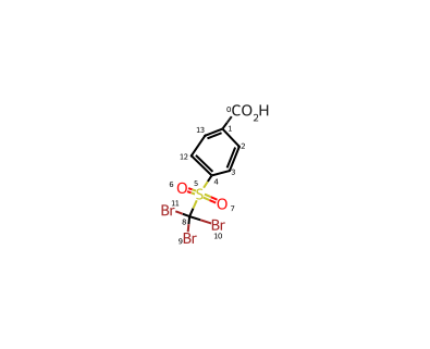 O=C(O)c1ccc(S(=O)(=O)C(Br)(Br)Br)cc1